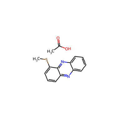 CC(=O)O.CSc1cccc2nc3ccccc3nc12